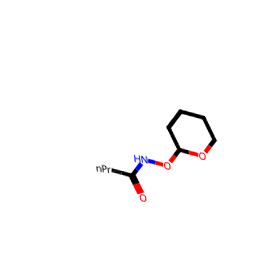 CCCC(=O)NOC1CCCCO1